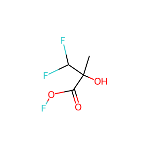 CC(O)(C(=O)OF)C(F)F